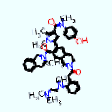 Cc1c(C(=O)N(C)c2ccc(O)cc2)cc(-c2cc3c(cc2C(=O)N2Cc4ccccc4C[C@H]2C)CN(C(=O)Cc2ccccc2N(C)CCN(C)C)CC3)n1C